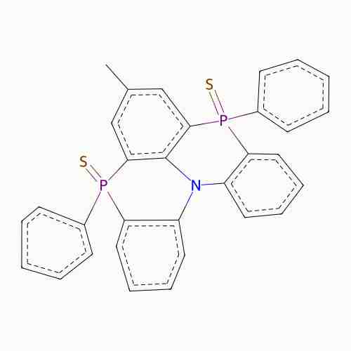 Cc1cc2c3c(c1)P(=S)(c1ccccc1)c1ccccc1N3c1ccccc1P2(=S)c1ccccc1